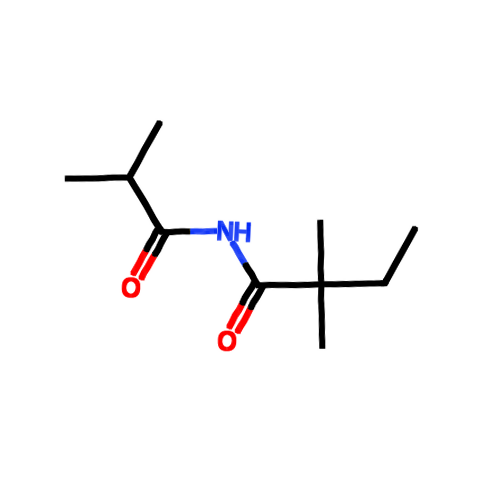 CCC(C)(C)C(=O)NC(=O)C(C)C